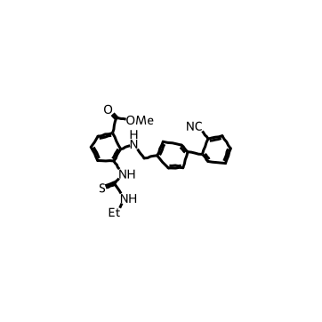 CCNC(=S)Nc1cccc(C(=O)OC)c1NCc1ccc(-c2ccccc2C#N)cc1